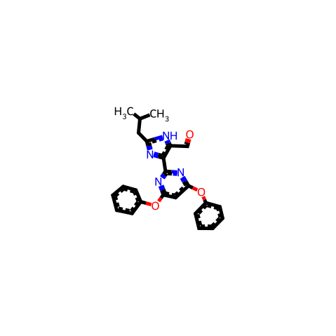 CC(C)Cc1nc(-c2nc(Oc3ccccc3)cc(Oc3ccccc3)n2)c(C=O)[nH]1